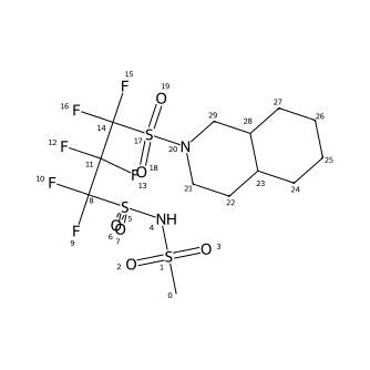 CS(=O)(=O)NS(=O)(=O)C(F)(F)C(F)(F)C(F)(F)S(=O)(=O)N1CCC2CCCCC2C1